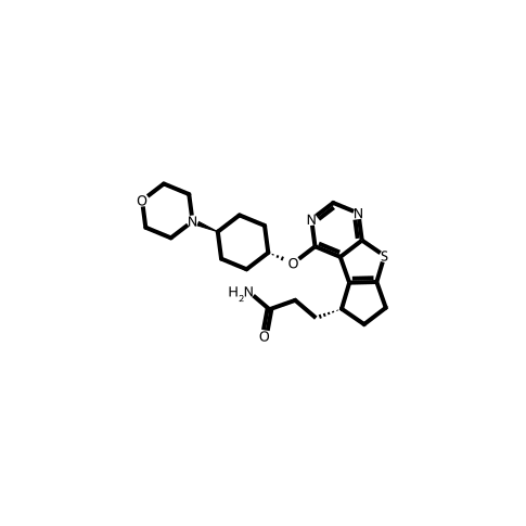 NC(=O)CC[C@H]1CCc2sc3ncnc(O[C@H]4CC[C@H](N5CCOCC5)CC4)c3c21